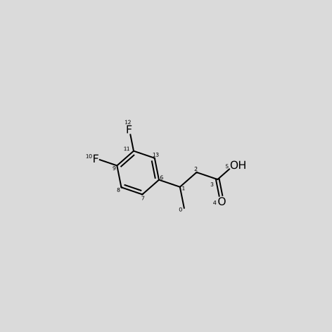 CC(CC(=O)O)c1ccc(F)c(F)c1